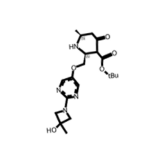 C[C@H]1CC(=O)C(C(=O)OC(C)(C)C)[C@@H](COc2cnc(N3CC(C)(O)C3)nc2)N1